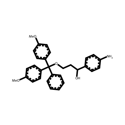 COc1ccc(C(OCCC(O)c2ccc(N)cc2)(c2ccccc2)c2ccc(OC)cc2)cc1